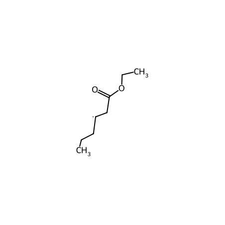 CCC[CH]CC(=O)OCC